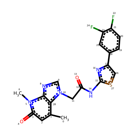 Cc1cc(=O)n(C)c2ncn(CC(=O)Nc3nc(-c4ccc(F)c(F)c4)cs3)c12